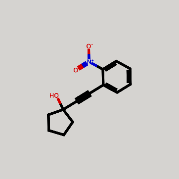 O=[N+]([O-])c1ccccc1C#CC1(O)CCCC1